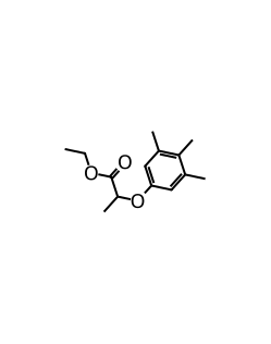 CCOC(=O)C(C)Oc1cc(C)c(C)c(C)c1